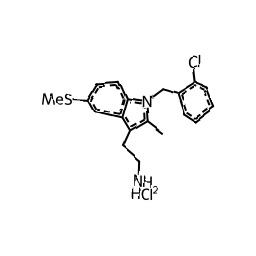 CSc1ccc2c(c1)c(CCN)c(C)n2Cc1ccccc1Cl.Cl